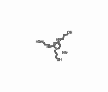 Br.CCCCCCCCCCCCNC1=NC(NCCCO)=CCN1CCCO